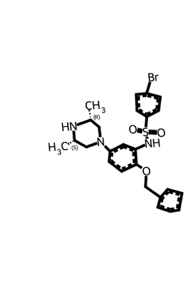 C[C@@H]1CN(c2ccc(OCc3ccccc3)c(NS(=O)(=O)c3ccc(Br)cc3)c2)C[C@H](C)N1